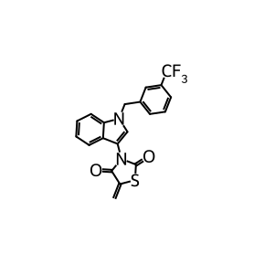 C=C1SC(=O)N(c2cn(Cc3cccc(C(F)(F)F)c3)c3ccccc23)C1=O